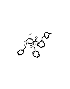 CC[C@H]1O[C@@](O)(C(=O)c2ccccc2Cc2ccc(C)cc2)[C@H](OCc2ccccc2)[C@@H](OCc2ccccc2)[C@@H]1C